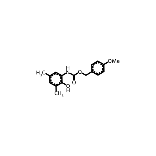 COc1ccc(COC(=O)Nc2cc(C)cc(C)c2O)cc1